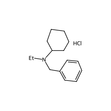 CCN(Cc1ccccc1)C1CCCCC1.Cl